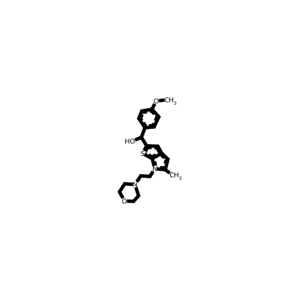 COc1ccc(C(O)c2cc3cc(C)n(CCN4CCOCC4)c3s2)cc1